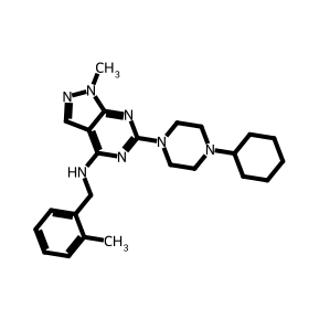 Cc1ccccc1CNc1nc(N2CCN(C3CCCCC3)CC2)nc2c1cnn2C